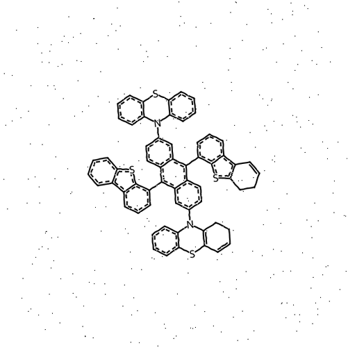 C1=CC2=C(CC1)N(c1ccc3c(-c4cccc5c6c(sc45)CCC=C6)c4cc(N5c6ccccc6Sc6ccccc65)ccc4c(-c4cccc5c4sc4ccccc45)c3c1)c1ccccc1S2